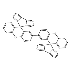 c1ccc2c(c1)Oc1ccc(-c3ccc4c(c3)C3(c5ccccc5S4)c4ccccc4-c4ccccc43)cc1C21c2ccccc2-c2ccccc21